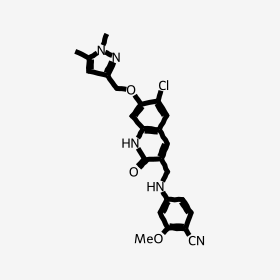 COc1cc(NCc2cc3cc(Cl)c(OCc4cc(C)n(C)n4)cc3[nH]c2=O)ccc1C#N